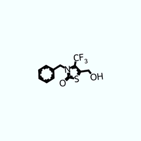 O=c1sc(CO)c(C(F)(F)F)n1Cc1ccccc1